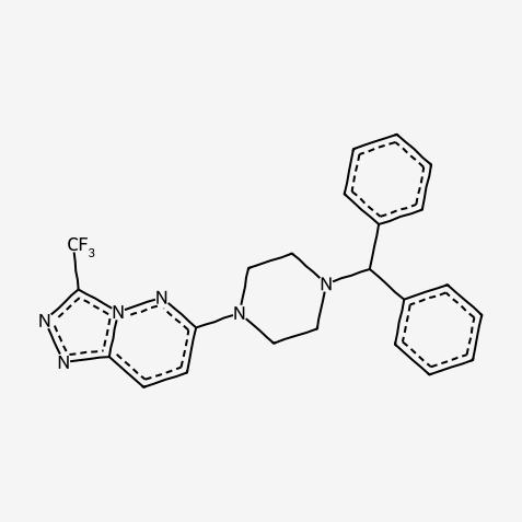 FC(F)(F)c1nnc2ccc(N3CCN(C(c4ccccc4)c4ccccc4)CC3)nn12